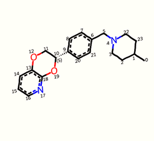 CC1CCN(Cc2ccc([C@H]3COc4cccnc4O3)cc2)CC1